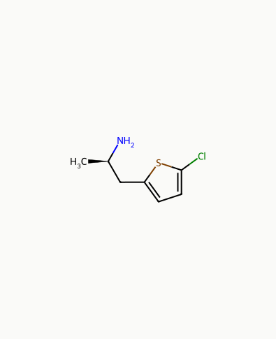 C[C@@H](N)Cc1ccc(Cl)s1